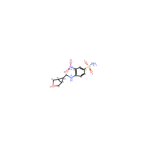 NS(=O)(=O)c1ccc(NCC2C3COCC23)c([N+](=O)[O-])c1